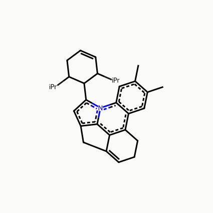 Cc1cc2c3c4c5c(cc(C6C(C(C)C)C=CCC6C(C)C)n5c2cc1C)CC4=CCC3